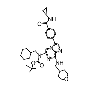 CC(C)(C)OC(=O)N(CC1CCCCC1)c1cn2c(-c3ccc(C(=O)NC4CC4)cc3)cnc2c(NCC2CCOCC2)n1